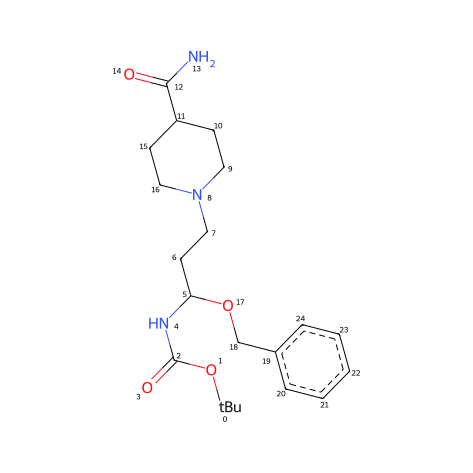 CC(C)(C)OC(=O)NC(CCN1CCC(C(N)=O)CC1)OCc1ccccc1